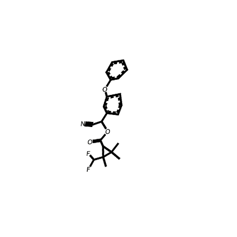 CC1(C)C(C(=O)OC(C#N)c2cccc(Oc3ccccc3)c2)C1(C)C(F)F